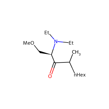 CCCCCCC(C)C(=O)[C@@H](COC)N(CC)CC